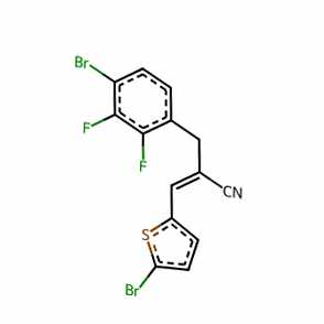 N#CC(=Cc1ccc(Br)s1)Cc1ccc(Br)c(F)c1F